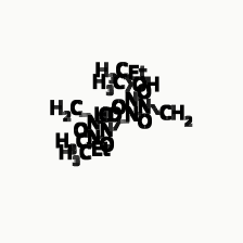 C=CCn1c(=O)n(CC(O)Cn2c(=O)n(CC=C)c(=O)n(C(C)(C)CC)c2=O)c(=O)n(CC(O)C(C)(C)CC)c1=O